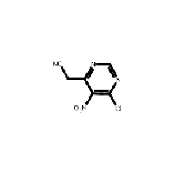 N#CCc1ncnc(Cl)c1[N+](=O)[O-]